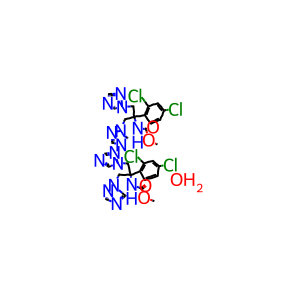 COC(=O)NC(Cn1cncn1)(Cn1cncn1)c1ccc(Cl)cc1Cl.COC(=O)NC(Cn1cncn1)(Cn1cncn1)c1ccc(Cl)cc1Cl.O